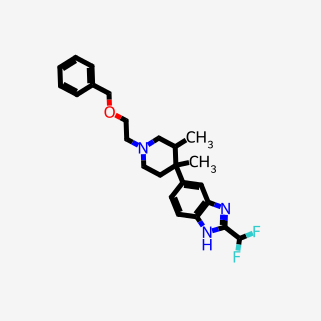 CC1CN(CCOCc2ccccc2)CCC1(C)c1ccc2[nH]c(C(F)F)nc2c1